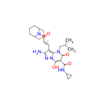 CC(C)Cn1c(=O)c(C(=O)NC2CC2)c(O)n2nc(N)c(/C=C/C(=O)N3C4CCCC3COC4)c12